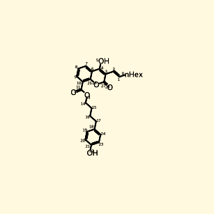 CCCCCCC=Cc1c(O)c2cccc(C(=O)OCCCCc3ccc(O)cc3)c2oc1=O